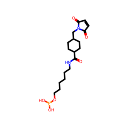 O=C(NCCCCCCOP(O)O)C1CCC(CN2C(=O)C=CC2=O)CC1